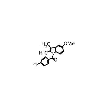 [CH2]c1c(C)n(C(=O)c2ccc(Cl)cc2)c2ccc(OC)cc12